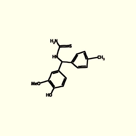 COc1cc(C(NC(N)=S)c2ccc(C)cc2)ccc1O